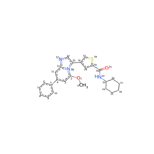 COc1cc(-c2ccccc2)cc2ncc(-c3csc(C(=O)NC4CCCCC4)c3)n12